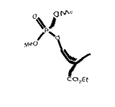 CCOC(=O)C(C)=COP(=O)(OC)OC